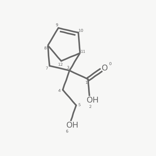 O=C(O)C1(CCO)CC2C=CC1C2